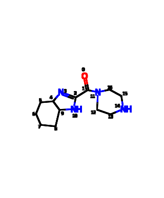 O=C(C1=NC2CCCCC2N1)N1CCNCC1